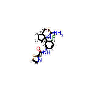 NC1=NC2(c3cc(NC(=O)c4nccs4)ccc3F)CCCC2CS1